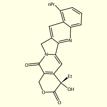 CCCc1cccc2nc3c(cc12)Cn1c-3cc2c(c1=O)COC(=O)[C@]2(O)CC